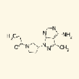 C=CC(=O)N1CCC(n2nc(C)c3c(N)ncnc32)C1